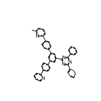 Cc1cccc(-c2ccc(-c3cc(-c4ccc(-c5ccccn5)cc4)cc(-c4nc(C5=CC=CCC5)nc(-c5ccccc5)n4)c3)cc2)n1